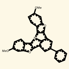 COc1ccc2c(c1)oc1c3cc(-c4ccccc4)cc4c5oc6cc(OC)ccc6c5n(c34)c21